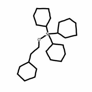 C1CCC(CCO[Si](C2CCCCC2)(C2CCCCC2)C2CCCCC2)CC1